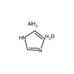 O.[AlH3].c1c[nH]cn1